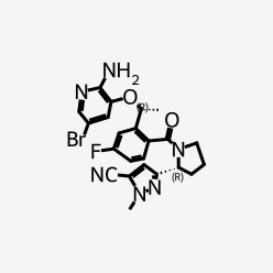 C[C@@H](Oc1cc(Br)cnc1N)c1cc(F)ccc1C(=O)N1CCC[C@@H]1c1cc(C#N)n(C)n1